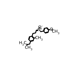 COc1ccc(C/[N+]([O-])=C\CCc2ccc(CC(C)C)cc2C)cc1